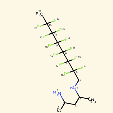 CCC(N)CC(C)NCC(F)(F)C(F)(F)C(F)(F)C(F)(F)C(F)(F)C(F)(F)C(F)(F)F